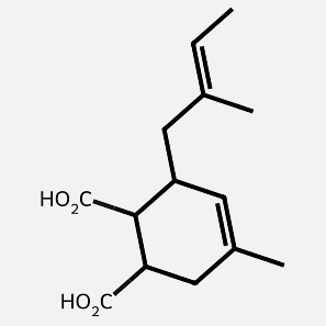 C/C=C(\C)CC1C=C(C)CC(C(=O)O)C1C(=O)O